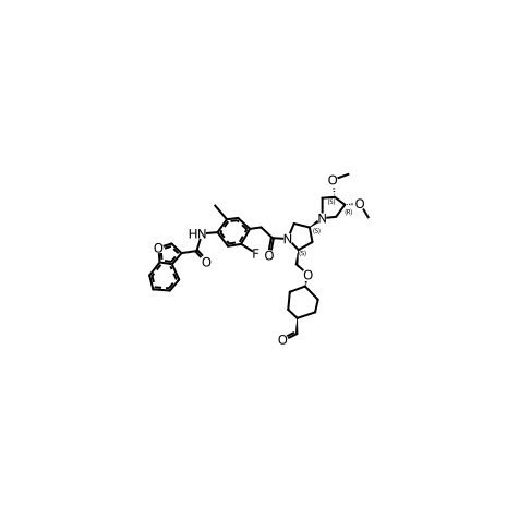 CO[C@H]1CN([C@H]2C[C@@H](CO[C@H]3CC[C@H](C=O)CC3)N(C(=O)Cc3cc(C)c(NC(=O)c4coc5ccccc45)cc3F)C2)C[C@H]1OC